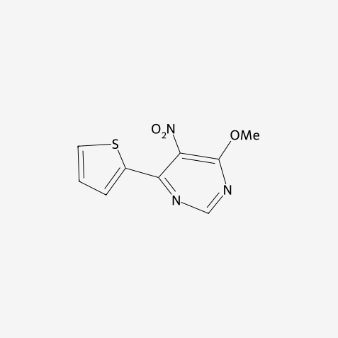 COc1ncnc(-c2cccs2)c1[N+](=O)[O-]